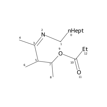 CCCCCCCCN=C(C)C(C)C(C)OC(=O)CC